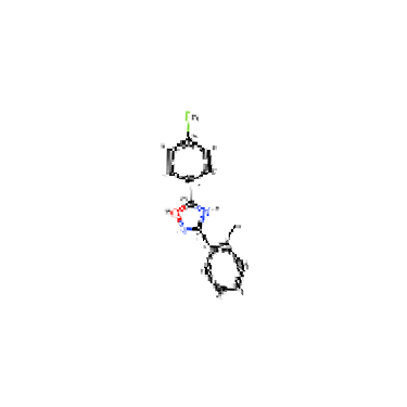 Cc1ccccc1-c1noc(-c2ccc(F)cc2)n1